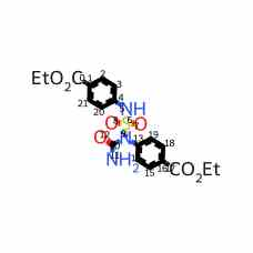 CCOC(=O)c1ccc(NS(=O)(=O)N(C(N)=O)c2ccc(C(=O)OCC)cc2)cc1